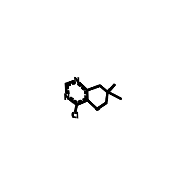 CC1(C)CCc2c(Cl)ncnc2C1